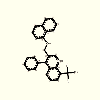 FC(F)(F)c1cccc2c(-c3ccccc3)c(COc3cccc4ccccc34)cnc12